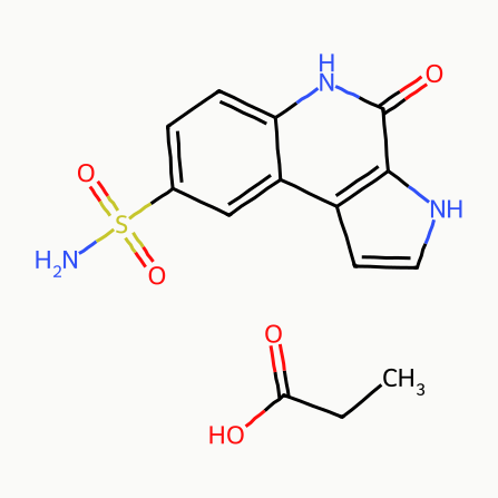 CCC(=O)O.NS(=O)(=O)c1ccc2[nH]c(=O)c3[nH]ccc3c2c1